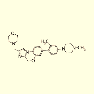 Cc1cc(N2CCN(C)CC2)ccc1-c1ccc2c(c1)OCc1nc(CN3CCOCC3)cn1-2